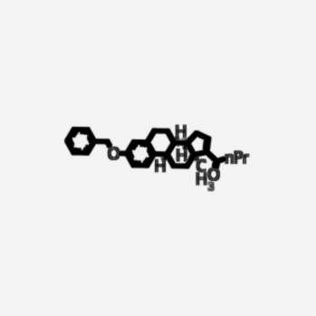 CCCC(=O)C1=CC[C@H]2[C@@H]3CCc4cc(OCc5ccccc5)ccc4[C@H]3CC[C@]12C